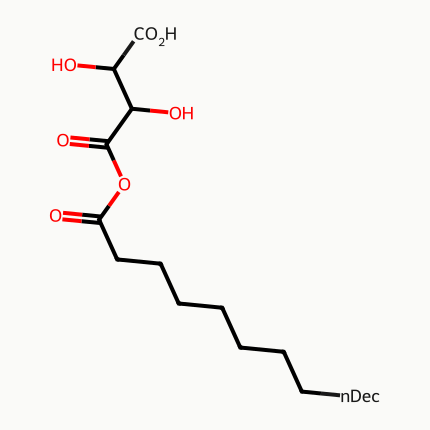 CCCCCCCCCCCCCCCCCC(=O)OC(=O)C(O)C(O)C(=O)O